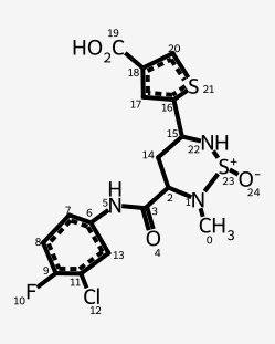 CN1C(C(=O)Nc2ccc(F)c(Cl)c2)CC(c2cc(C(=O)O)cs2)N[S+]1[O-]